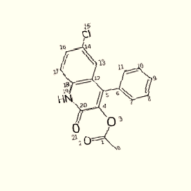 CC(=O)Oc1c(-c2ccccc2)c2cc(Cl)ccc2[nH]c1=O